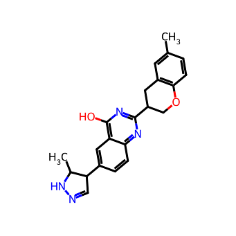 Cc1ccc2c(c1)CC(c1nc(O)c3cc(C4C=NNC4C)ccc3n1)CO2